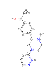 [2H]N1CCN(c2cccnn2)CC1c1ccc(C(=O)OC)cc1